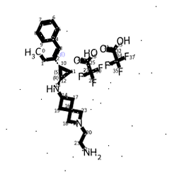 CC/C(=C\c1ccccc1)[C@@H]1C[C@H]1NC1CC2(C1)CN(CCN)C2.O=C(O)C(F)(F)F.O=C(O)C(F)(F)F